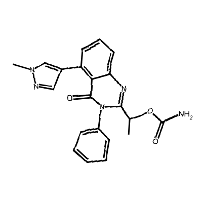 CC(OC(N)=O)c1nc2cccc(-c3cnn(C)c3)c2c(=O)n1-c1ccccc1